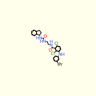 CC(C)c1cccc(Nc2ccc(Cl)c(C(=O)NCCNC(=O)N[C@@H]3CCc4ccccc43)c2Cl)c1